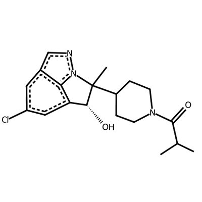 CC(C)C(=O)N1CCC(C2(C)[C@H](O)c3cc(Cl)cc4cnn2c34)CC1